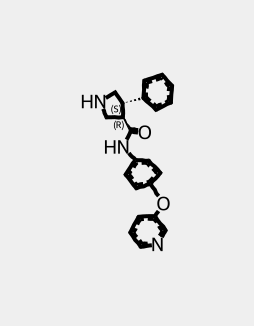 O=C(Nc1ccc(Oc2cccnc2)cc1)[C@H]1CNC[C@@H]1c1ccccc1